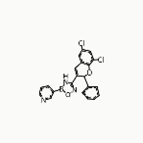 Clc1cc(Cl)c2c(c1)C=C(C1=NOB(c3cccnc3)N1)C(c1ccccc1)O2